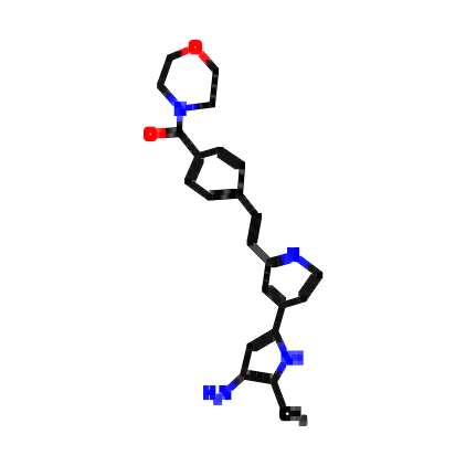 Cc1[nH]c(-c2ccnc(/C=C/c3ccc(C(=O)N4CCOCC4)cc3)c2)cc1N